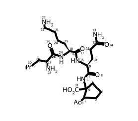 CC(=O)C1CCCC1(NC(=O)[C@H](CCC(N)=O)NC(=O)[C@H](CCCCN)NC(=O)[C@@H](N)CC(C)C)C(=O)O